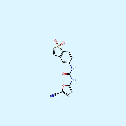 N#Cc1ccc(NC(=O)Nc2ccc3c(c2)C=CS3(=O)=O)o1